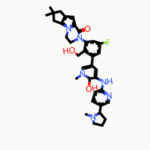 CN1C=C(c2cc(F)cc(N3CCn4c(cc5c4CC(C)(C)C5)C3=O)c2CO)C=C(Nc2ccc(C3CCCN3C)cn2)C1O